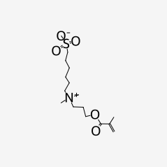 C=C(C)C(=O)OCCC[N+](C)(C)CCCCCCS(=O)(=O)[O-]